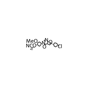 COc1cc(-n2cnc3oc(-c4ccc(Cl)cc4)cc3c2=O)ccc1OCC1(C#N)CC1